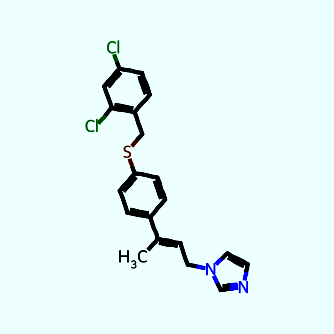 CC(=CCn1ccnc1)c1ccc(SCc2ccc(Cl)cc2Cl)cc1